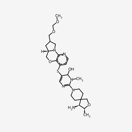 COCOCC1C[C@H]2COc3c(SC4=CN=C(N5CCC6(CC5)CO[C@@H](C)[C@H]6N)N(C)C4O)ccnc3N2C1